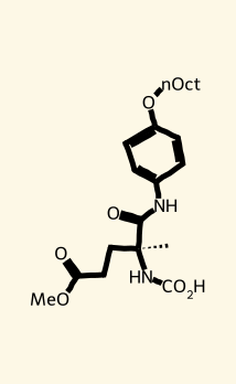 CCCCCCCCOc1ccc(NC(=O)[C@](C)(CCC(=O)OC)NC(=O)O)cc1